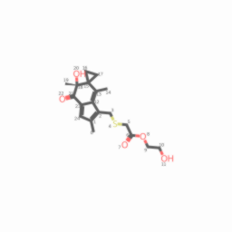 CC1=C(CSCC(=O)OCCO)C2=C(C)C3(CC3)[C@@](C)(O)C(=O)C2=C1